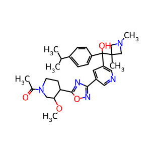 COC1CN(C(C)=O)CCC1c1nc(-c2cncc(C(O)(c3ccc(C(C)C)cc3)C3(C)CN(C)C3)c2)no1